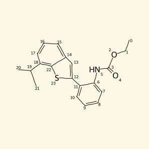 CCOC(=O)Nc1ccccc1-c1cc2cccc(C(C)C)c2s1